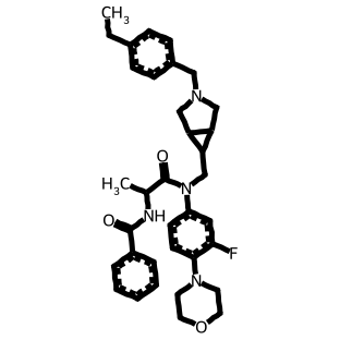 CCc1ccc(CN2CC3C(C2)C3CN(C(=O)C(C)NC(=O)c2ccccc2)c2ccc(N3CCOCC3)c(F)c2)cc1